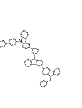 c1ccc(CC2c3ccccc3-c3cc(-c4ccc5c(c4)-c4ccccc4C5c4cccc(-c5ccc6c(c5)c5ccccc5n6-c5ccc(-c6ccccc6)cc5)c4)ccc32)cc1